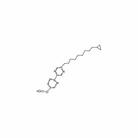 CCCCCCCCOc1ccc(-c2cnc(CCCCCCCCCC3CC3)cn2)nc1